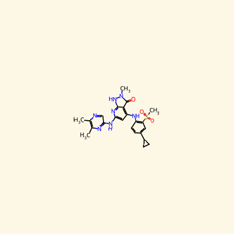 Cc1ncc(Nc2cc(Nc3ccc(C4CC4)cc3S(C)(=O)=O)c3c(=O)n(C)[nH]c3n2)nc1C